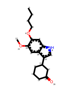 CCCCOc1cc2[nH]cc(C3CCCC(=O)C3)c2cc1OC